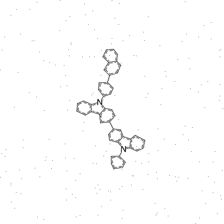 c1ccc(-n2c3ccccc3c3cc(-c4ccc5c(c4)c4ccccc4n5-c4ccc(-c5ccc6ccccc6c5)cc4)ccc32)cc1